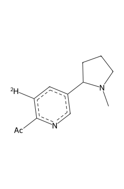 [2H]c1cc(C2CCCN2C)cnc1C(C)=O